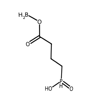 BOC(=O)CCC[PH](=O)O